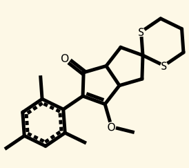 COC1=C(c2c(C)cc(C)cc2C)C(=O)C2CC3(CC12)SCCCS3